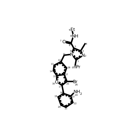 CCCc1nc(C)c(C(=O)NCC)n1Cc1ccc2oc(-c3ccccc3N)c(Br)c2c1